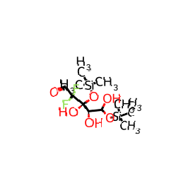 C[Si](C)(C)OC(O)[C@@H](O)[C@@](O)(O[Si](C)(C)C)C(F)(F)C=O